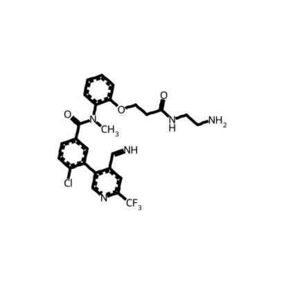 CN(C(=O)c1ccc(Cl)c(-c2cnc(C(F)(F)F)cc2C=N)c1)c1ccccc1OCCC(=O)NCCN